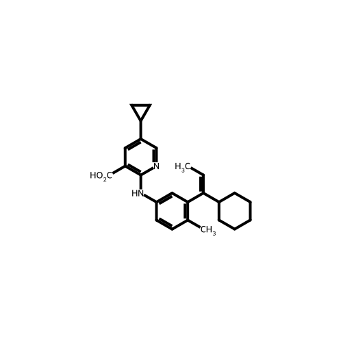 C/C=C(\c1cc(Nc2ncc(C3CC3)cc2C(=O)O)ccc1C)C1CCCCC1